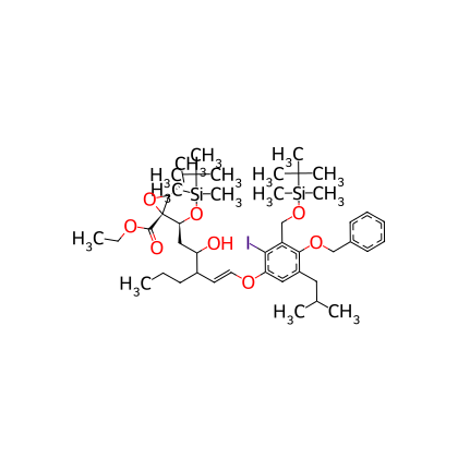 CCCC(/C=C/Oc1cc(CC(C)C)c(OCc2ccccc2)c(CO[Si](C)(C)C(C)(C)C)c1I)C(O)C[C@H](O[Si](C)(C)C(C)(C)C)[C@]1(C(=O)OCC)O[C@@H]1CC